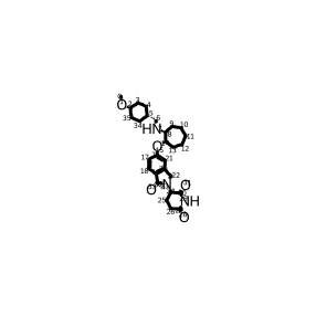 CO[C@H]1CC[C@H](CN[C@H]2CCCCC[C@H]2Oc2ccc3c(c2)CN(C2CCC(=O)NC2=O)C3=O)CC1